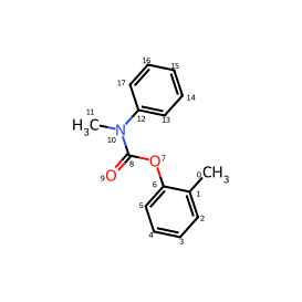 Cc1ccccc1OC(=O)N(C)c1ccccc1